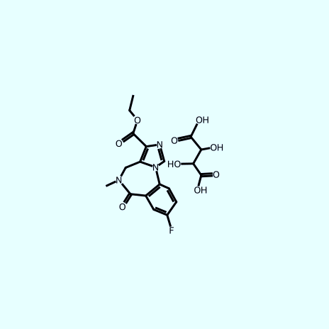 CCOC(=O)c1ncn2c1CN(C)C(=O)c1cc(F)ccc1-2.O=C(O)C(O)C(O)C(=O)O